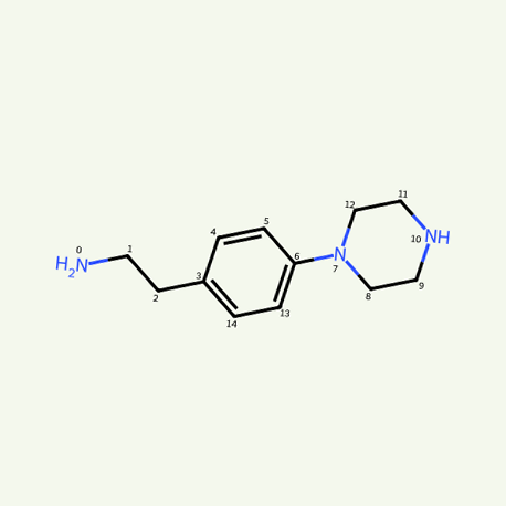 NCCc1ccc(N2CCNCC2)cc1